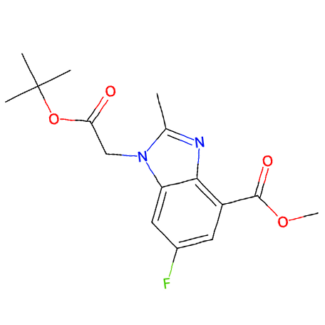 COC(=O)c1cc(F)cc2c1nc(C)n2CC(=O)OC(C)(C)C